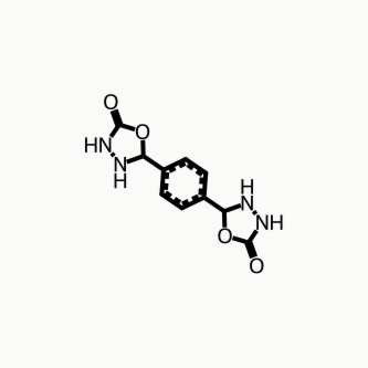 O=C1NNC(c2ccc(C3NNC(=O)O3)cc2)O1